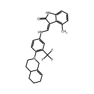 Cc1cccc2c1C(=CNc1ccc(N3CCC4CCCC=C4C3)c(C(F)(F)F)c1)C(=O)N2